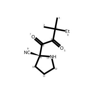 CCC(C)(C)C(=O)C(=O)[C@@]1(C#N)CCCN1